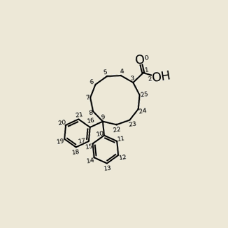 O=C(O)C1CCCCCC(c2ccccc2)(c2ccccc2)CCCC1